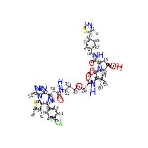 Cc1ncsc1-c1ccc(CNC(=O)[C@@H]2C[C@@H](O)CN2C(=O)[C@@H](NC(=O)COCCCNC(=O)C[C@@H]2N=C(c3ccc(Cl)cc3)c3c(sc(C)c3C)-n3c(C)nnc32)C(C)(C)C)cc1